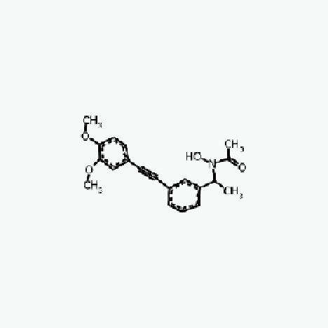 COc1ccc(C#Cc2cccc(C(C)N(O)C(C)=O)c2)cc1OC